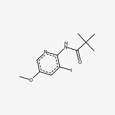 COc1cnc(NC(=O)C(C)(C)C)c(I)c1